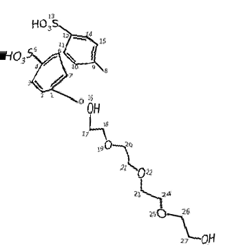 Cc1ccc(S(=O)(=O)O)cc1.Cc1ccc(S(=O)(=O)O)cc1.OCCOCCOCCOCCO